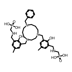 Cc1cc(CNCP(=O)(O)O)c(O)c(CN2CCCN(Cc3ccccc3)CCCN(Cc3cc(C)cc(CNCP(=O)(O)O)c3O)CC2)c1